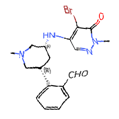 CN1C[C@H](Nc2cnn(C)c(=O)c2Br)C[C@H](c2ccccc2C=O)C1